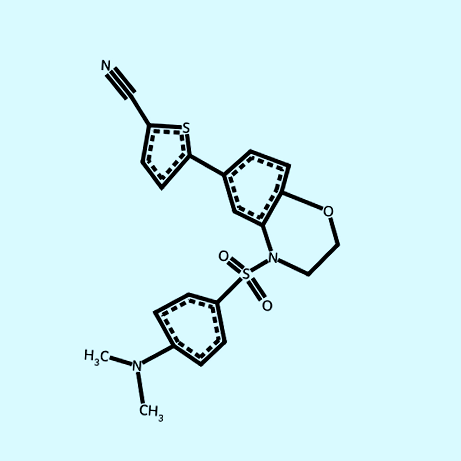 CN(C)c1ccc(S(=O)(=O)N2CCOc3ccc(-c4ccc(C#N)s4)cc32)cc1